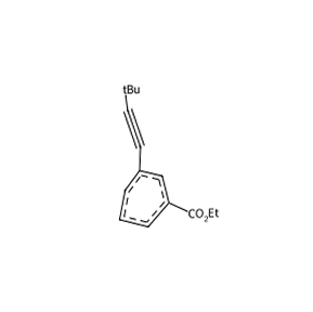 CCOC(=O)c1cccc(C#CC(C)(C)C)c1